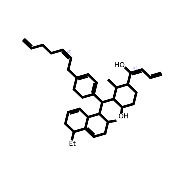 C=C/C=C(/O)C1CCC(O)C(C(C2=CC=C(C/C=C\CCC=C)CC2)C2C(C)CC=C3C(CC)CC=CC32)C1C